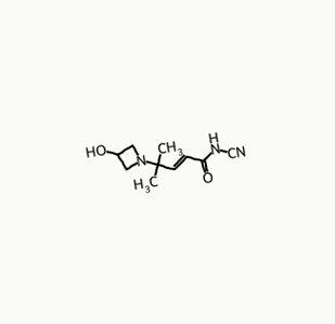 CC(C)(C=CC(=O)NC#N)N1CC(O)C1